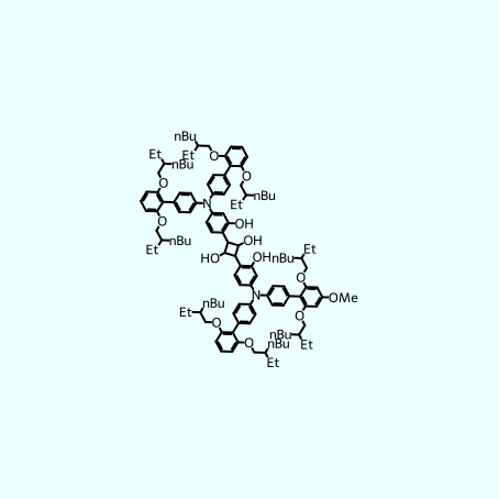 CCCCC(CC)COc1cccc(OCC(CC)CCCC)c1-c1ccc(N(c2ccc(-c3c(OCC(CC)CCCC)cccc3OCC(CC)CCCC)cc2)c2ccc(C3C(O)C(c4ccc(N(c5ccc(-c6c(OCC(CC)CCCC)cccc6OCC(CC)CCCC)cc5)c5ccc(-c6c(OCC(CC)CCCC)cc(OC)cc6OCC(CC)CCCC)cc5)cc4O)C3O)c(O)c2)cc1